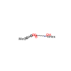 CCCCCCC(O)C/C=C/CCCCCCCC(=O)OCOc1ccc(C(C)(C)c2ccc(OC)cc2)cc1